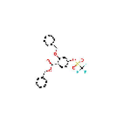 O=C(OCc1ccccc1)c1ccc(OS(=O)(=O)C(F)(F)F)cc1OCc1ccccc1